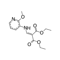 CCOC(=O)C(=CNc1cccnc1OC)C(=O)OCC